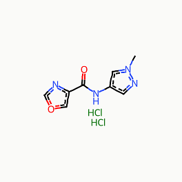 Cl.Cl.Cn1cc(NC(=O)c2cocn2)cn1